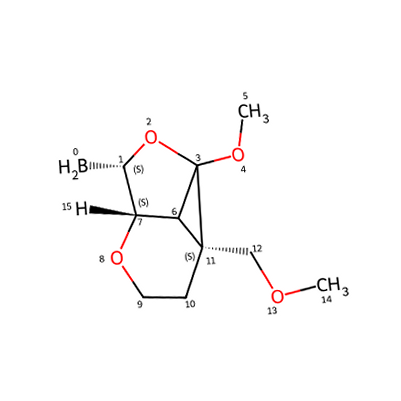 B[C@@H]1OC2(OC)C3[C@@H]1OCC[C@@]32COC